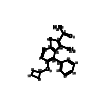 NC(=O)c1sc2ncc(OC3CCC3)c(-c3ccccc3)c2c1N